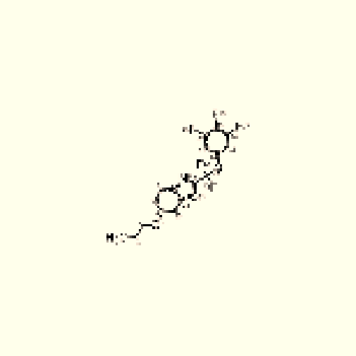 C=CCOc1ccc2nc(C(F)(F)Oc3cc(F)c(F)c(F)c3)sc2c1